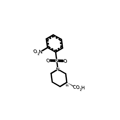 O=C(O)[C@@H]1CCCN(S(=O)(=O)c2ccccc2[N+](=O)[O-])C1